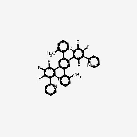 Cc1ccccc1-c1cc(-c2c(F)c(F)c(F)c(-c3ccccn3)c2F)c(-c2ccccc2C)cc1-c1c(F)c(F)c(F)c(-c2ccccn2)c1F